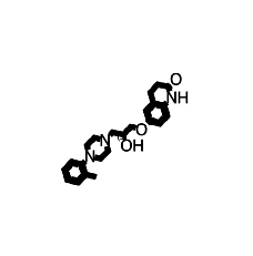 Cc1ccccc1N1CCN(C[C@H](O)COc2ccc3c(c2)CCC(=O)N3)CC1